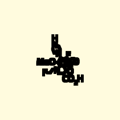 COc1c(N2CCNCC2)c(F)cc2c(=O)c(C(=O)O)cn(CCF)c12.O.O